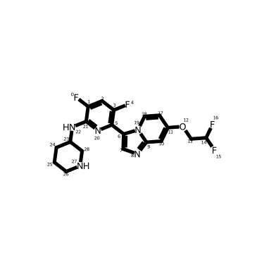 Fc1cc(F)c(-c2cnc3cc(OCC(F)F)ccn23)nc1NC1CCCNC1